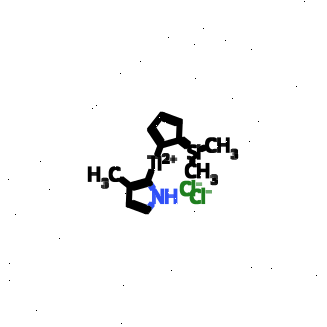 Cc1cc[nH][c]1[Ti+2][C]1=CC=CC1=[Si](C)C.[Cl-].[Cl-]